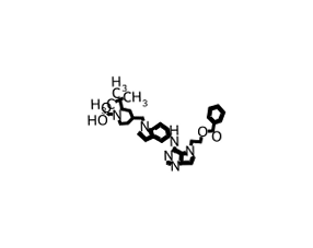 CC(C)(C)C1CC(Cn2ccc3cc(Nc4ncnc5ccn(CCOC(=O)c6ccccc6)c45)ccc32)CCN1C(=O)O